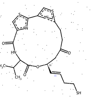 CC(C)C1NC(=O)c2csc(n2)-c2csc(n2)CCC(=O)C[C@@H](/C=C/CCS)OC1=O